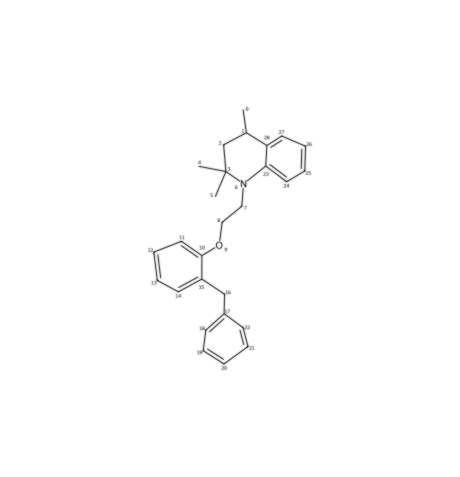 CC1CC(C)(C)N(CCOc2ccccc2Cc2ccccc2)c2ccccc21